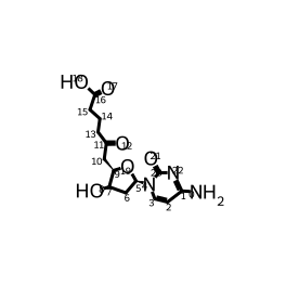 Nc1ccn([C@H]2CC(O)[C@@H](CC(=O)CCCC(=O)O)O2)c(=O)n1